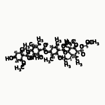 CCc1c(C)c(C(=O)OCOC)c(OC)c(C)c1OC(=O)c1c(C)cc(OC(=O)c2c(C)c(C)c(OC(=O)c3c(C)cc(O)cc3OC)c(Br)c2O)c(C)c1O